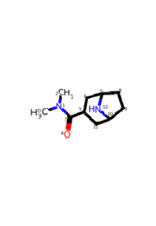 CN(C)C(=O)C1C[C]2CCC(C1)N2